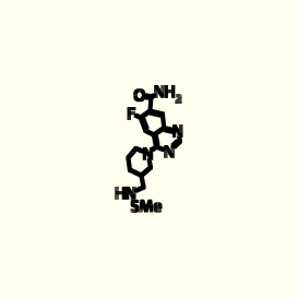 CSNCC1CCCN(c2ncnc3cc(C(N)=O)c(F)cc23)C1